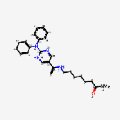 C=C(NCCCCCCC(=O)NC)C1=CN[C@@H](N(C2=CCCC=C2)c2ccccc2)N=C1